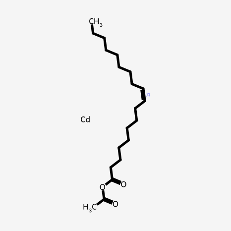 CCCCCCCC/C=C\CCCCCCCC(=O)OC(C)=O.[Cd]